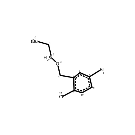 CC(C)(C)C[SiH2]OCc1cc(Br)ccc1Cl